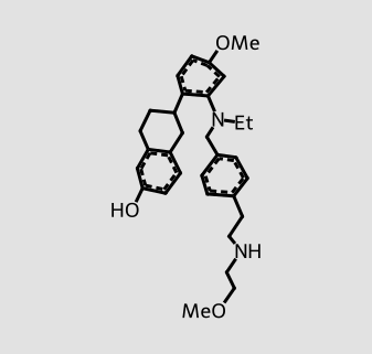 CCN(Cc1ccc(CCNCCOC)cc1)c1cc(OC)ccc1C1CCc2cc(O)ccc2C1